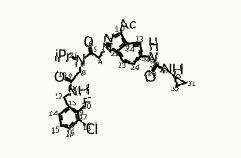 CC(=O)c1nn(CC(=O)N(CC(=O)NCc2cccc(Cl)c2F)C(C)C)c2ccc(NC(=O)NC3CC3)cc12